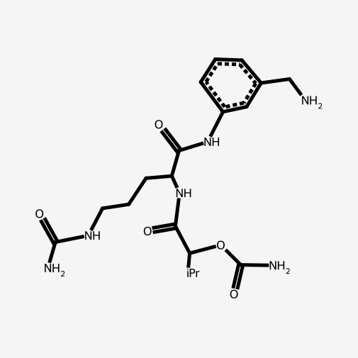 CC(C)C(OC(N)=O)C(=O)NC(CCCNC(N)=O)C(=O)Nc1cccc(CN)c1